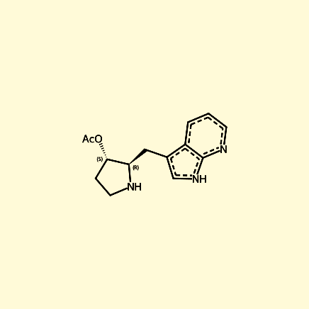 CC(=O)O[C@H]1CCN[C@@H]1Cc1c[nH]c2ncccc12